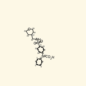 O=C(O)N(c1ccccc1)c1ccc(S(=O)(=O)NCC2CCOCC2)cc1